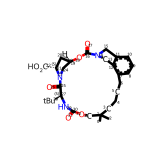 CC1(C)CCCCc2cccc3c2CN(C3)C(=O)O[C@@H]2C[C@@H](C(=O)O)N(C2)C(=O)[C@H](C(C)(C)C)NC(=O)OC1